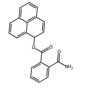 NC(=O)c1ccccc1C(=O)OC1C=Cc2cccc3cccc1c23